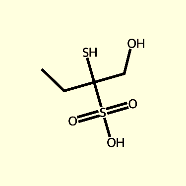 CCC(S)(CO)S(=O)(=O)O